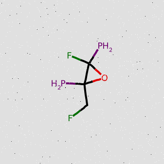 FCC1(P)OC1(F)P